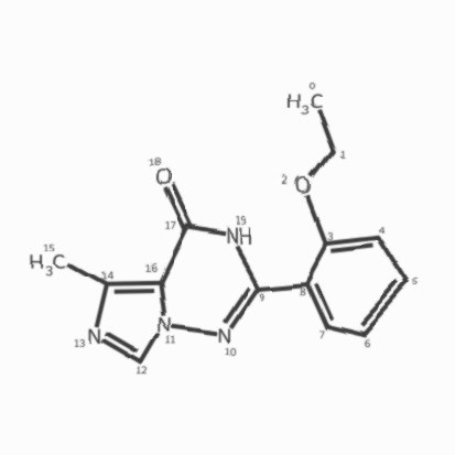 CCOc1ccccc1-c1nn2cnc(C)c2c(=O)[nH]1